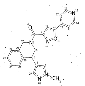 Cn1cc(C2CN(C(=O)c3cc(-c4ccncc4)on3)Cc3ccccc32)cn1